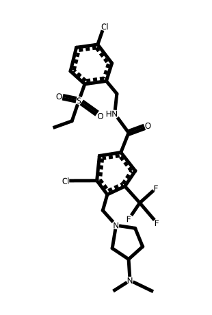 CCS(=O)(=O)c1ccc(Cl)cc1CNC(=O)c1cc(Cl)c(CN2CCC(N(C)C)C2)c(C(F)(F)F)c1